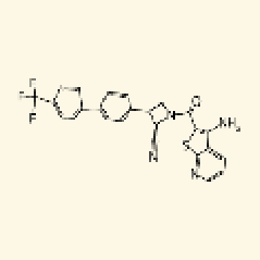 N#CC1C(c2ccc(-c3ccc(C(F)(F)F)cc3)cc2)CN1C(=O)c1sc2ncccc2c1N